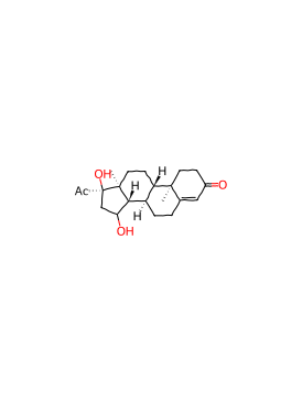 CC(=O)[C@@]1(O)CC(O)[C@H]2[C@@H]3CCC4=CC(=O)CC[C@]4(C)[C@H]3CC[C@@]21C